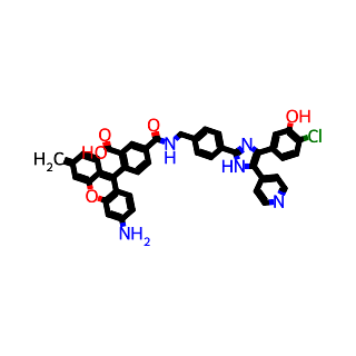 C=c1ccc2c(c1)Oc1cc(N)ccc1C=2c1ccc(C(=O)NCc2ccc(-c3nc(-c4ccc(Cl)c(O)c4)c(-c4ccncc4)[nH]3)cc2)cc1C(=O)O